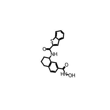 O=C(NO)c1ccc2c(c1)C(NC(=O)c1cc3ccccc3s1)CCC2